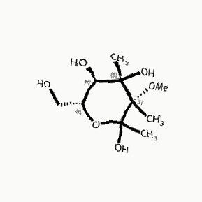 CO[C@]1(C)C(C)(O)O[C@H](CO)[C@@H](O)[C@]1(C)O